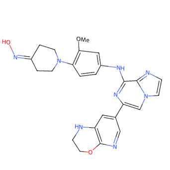 COc1cc(Nc2nc(-c3cnc4c(c3)NCCO4)cn3ccnc23)ccc1N1CCC(=NO)CC1